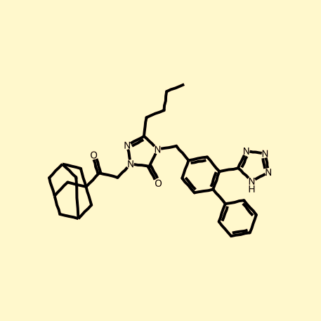 CCCCc1nn(CC(=O)C23CC4CC(CC(C4)C2)C3)c(=O)n1Cc1ccc(-c2ccccc2)c(-c2nnn[nH]2)c1